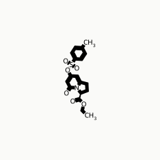 CCOC(=O)[C@@H]1CCc2cc(OS(=O)(=O)c3ccc(C)cc3)cc(=O)n21